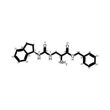 NC(CNC(=O)N[C@@H]1CCc2ccccc21)C(=O)OCc1ccccc1